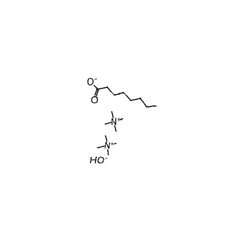 CCCCCCCC(=O)[O-].C[N+](C)(C)C.C[N+](C)(C)C.[OH-]